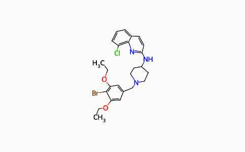 CCOc1cc(CN2CCC(Nc3ccc4cccc(Cl)c4n3)CC2)cc(OCC)c1Br